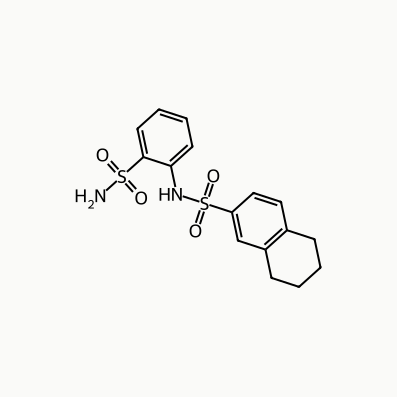 NS(=O)(=O)c1ccccc1NS(=O)(=O)c1ccc2c(c1)CCCC2